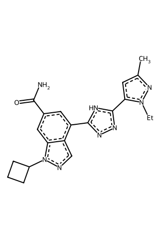 CCn1nc(C)cc1-c1nnc(-c2cc(C(N)=O)cc3c2cnn3C2CCC2)[nH]1